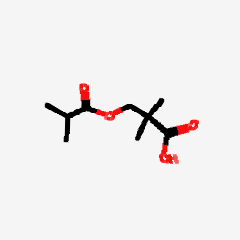 CC(C)C(=O)OCC(C)(C)C(=O)O